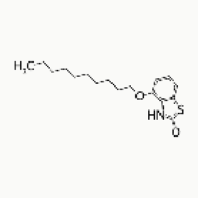 CCCCCCCCCCOc1cccc2sc(=O)[nH]c12